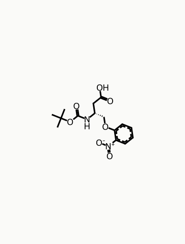 CC(C)(C)OC(=O)N[C@@H](COc1ccccc1[N+](=O)[O-])CC(=O)O